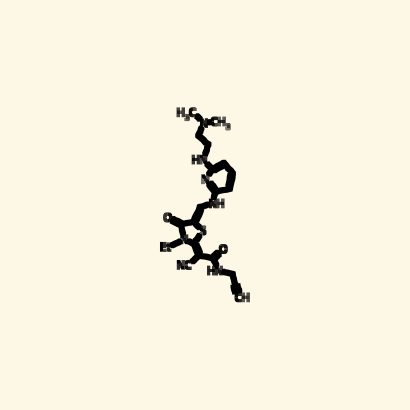 C#CCNC(=O)C(C#N)=c1sc(=CNc2cccc(NCCN(C)C)n2)c(=O)n1CC